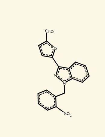 O=Cc1ccc(-c2nn(Cc3ccccc3[N+](=O)[O-])c3ccccc23)o1